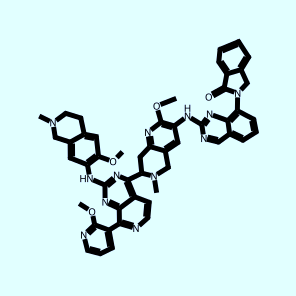 COc1cc2c(cc1Nc1nc(C3Cc4nc(OC)c(Nc5ncc6cccc(N7Cc8ccccc8C7=O)c6n5)cc4CN3C)c3ccnc(-c4cccnc4OC)c3n1)CN(C)CC2